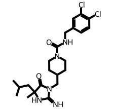 CC(C)CC1(C)NC(=N)N(CC2CCN(C(=O)NCc3ccc(Cl)c(Cl)c3)CC2)C1=O